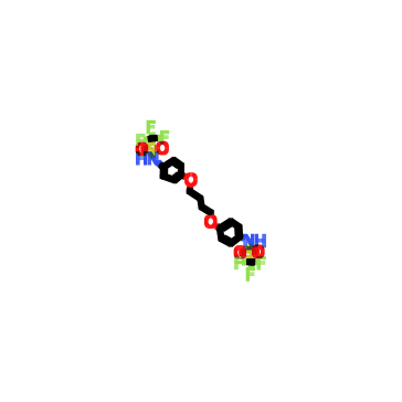 O=S(=O)(Nc1ccc(OCCCCOc2ccc(NS(=O)(=O)C(F)(F)F)cc2)cc1)C(F)(F)F